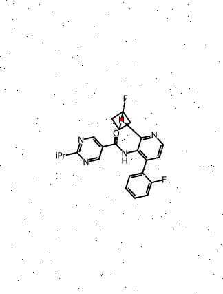 CC(C)c1ncc(C(=O)Nc2c(-c3ccccc3F)ccnc2N2CC3(F)CC2C3)cn1